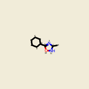 CC1N=C(C2CCCCC2)ON1